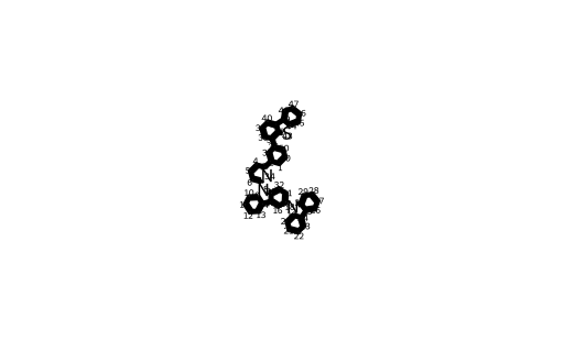 c1cc(-c2cccc(-n3c4ccccc4c4cc(-n5c6ccccc6c6ccccc65)ccc43)n2)cc(-c2cccc3c2sc2ccccc23)c1